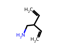 C=CC(C=C)CN